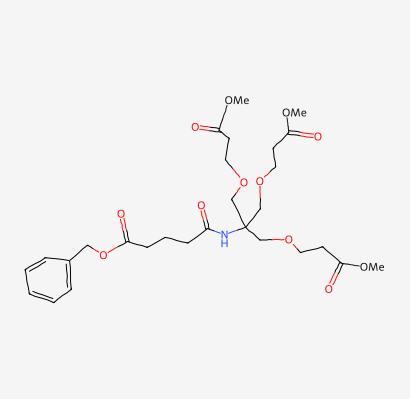 COC(=O)CCOCC(COCCC(=O)OC)(COCCC(=O)OC)NC(=O)CCCC(=O)OCc1ccccc1